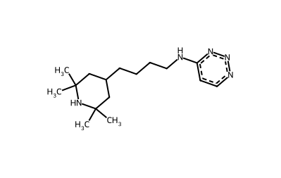 CC1(C)CC(CCCCNc2ccnnn2)CC(C)(C)N1